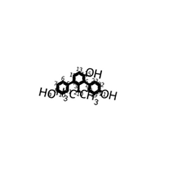 CC(C)c1c(-c2ccc(O)cc2)ccc(O)c1-c1ccc(O)cc1